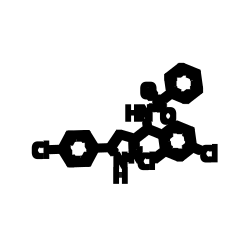 O=S(=O)(NC(C1=NNC(c2ccc(Cl)cc2)C1)c1ccc(Cl)cc1Cl)c1ccccc1